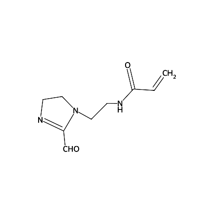 C=CC(=O)NCCN1CCN=C1C=O